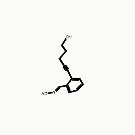 OCCCC#Cc1ccccc1C=NO